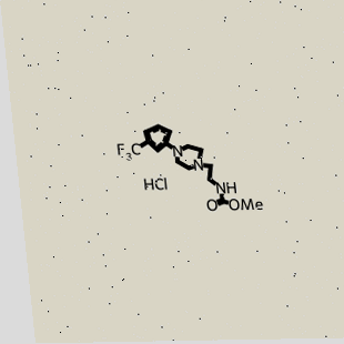 COC(=O)NCCN1CCN(c2cccc(C(F)(F)F)c2)CC1.Cl